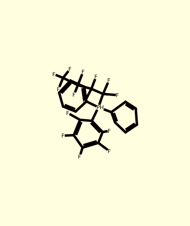 Fc1c(F)c(F)c([PH](c2ccccc2)(c2ccccc2)C(F)(F)C(F)(F)C(F)(F)C(F)(F)F)c(F)c1F